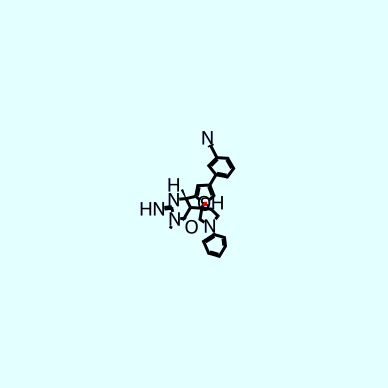 CN1C(=N)N[C@](C)(c2cc(-c3cccc(C#N)c3)cs2)C(C2(O)CCN(c3ccccc3)C2)C1=O